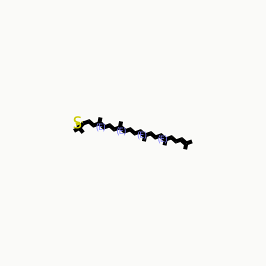 CC(C)=CCC/C(C)=C/CC/C(C)=C/CC/C=C(\C)CC/C=C(\C)CCC1SC1(C)C